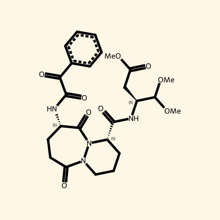 COC(=O)C[C@H](NC(=O)[C@@H]1CCCN2C(=O)CC[C@H](NC(=O)C(=O)c3ccccc3)C(=O)N12)C(OC)OC